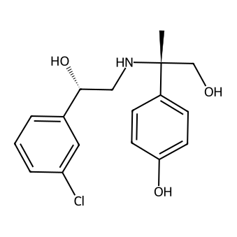 C[C@](CO)(NC[C@@H](O)c1cccc(Cl)c1)c1ccc(O)cc1